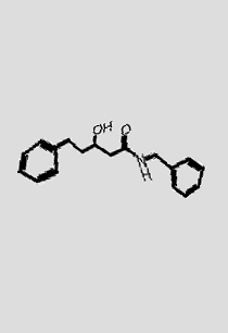 O=C(CC(O)CCc1ccccc1)NCc1ccccc1